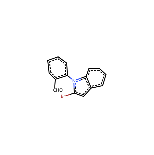 O=Cc1ccccc1-n1c(Br)cc2ccccc21